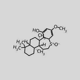 COC1=CC2C(C(O)=C1)[C@]1(C)CC[C@H]3C(C)(C)CCC[C@]3(C)[C@H]1CC[S+]2[O-]